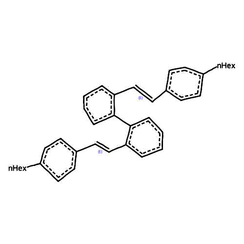 CCCCCCc1ccc(/C=C/c2ccccc2-c2ccccc2/C=C/c2ccc(CCCCCC)cc2)cc1